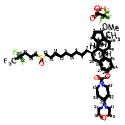 CO[C@H]1CC[C@H]2[C@@H]3[C@H](CCCCCCCCC[S+]([O-])CCCC(F)(F)C(F)(F)F)Cc4cc(OC(=O)N5CCC(N6CCOCC6)CC5)ccc4[C@H]3CC[C@]12C.O=C(O)C(F)(F)F